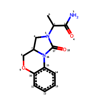 CC(C(N)=O)N1CC2COc3ccccc3N2C1=O